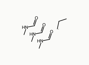 CNC=O.CNC=O.CNC=O.[CH2]CC